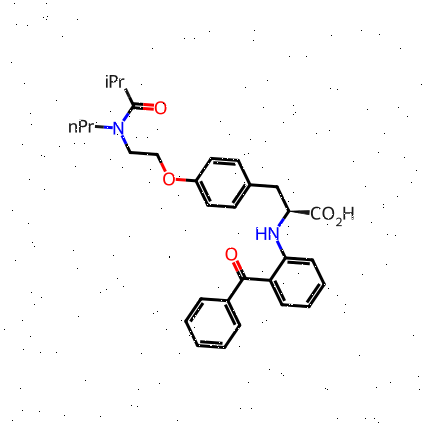 CCCN(CCOc1ccc(C[C@H](Nc2ccccc2C(=O)c2ccccc2)C(=O)O)cc1)C(=O)C(C)C